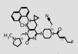 Cc1cccc2cccc(N3Cc4c(c(N5CCN(C(=O)/C=C/CF)[C@@H](CC#N)C5)nc(=O)n4C[C@@H]4CCCN4C)CC34CC4)c12